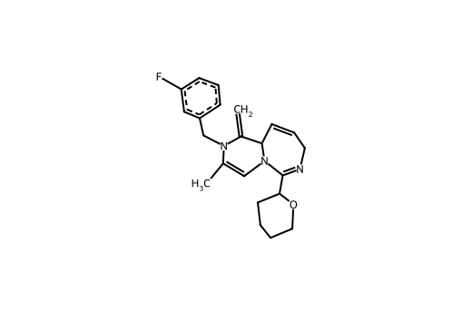 C=C1C2C=CCN=C(C3CCCCO3)N2C=C(C)N1Cc1cccc(F)c1